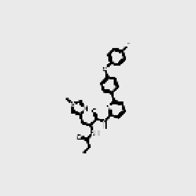 CCC(=O)NC(Cc1cn(C)cn1)C(=O)Nc1cccc(-c2ccc(Oc3ccc(F)cc3)cc2)n1